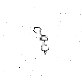 CN1CCN(c2nc(C3=CC=CCC3)cs2)CC1